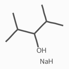 CC(C)C(O)C(C)C.[NaH]